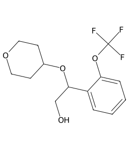 OCC(OC1CCOCC1)c1ccccc1OC(F)(F)F